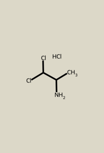 CC(N)C(Cl)Cl.Cl